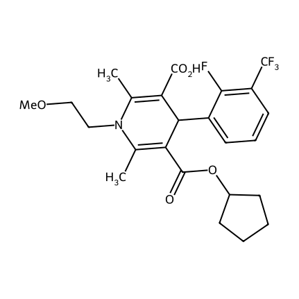 COCCN1C(C)=C(C(=O)O)C(c2cccc(C(F)(F)F)c2F)C(C(=O)OC2CCCC2)=C1C